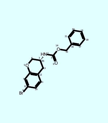 O=C(N[C@H]1COc2cc(Br)ccc2C1)OCc1ccccc1